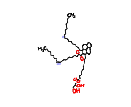 CCCCCCCC/C=C\CCCCCCCC(=O)c1c(CCCCCCCCCC(=O)OCC(O)CO)c2ccc3cccc4ccc(c1C(=O)CCCCCCC/C=C\CCCCCCCC)c2c34